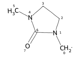 [CH2]N1CCN(C)C1=O